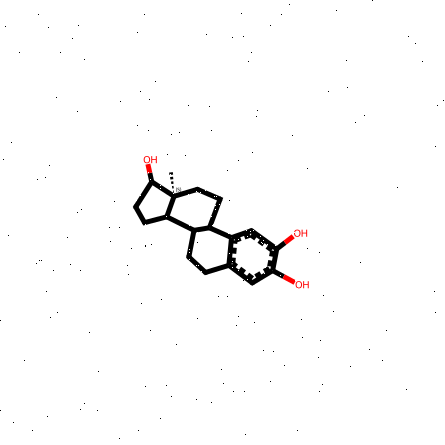 C[C@]12CCC3c4cc(O)c(O)cc4CCC3C1CCC2O